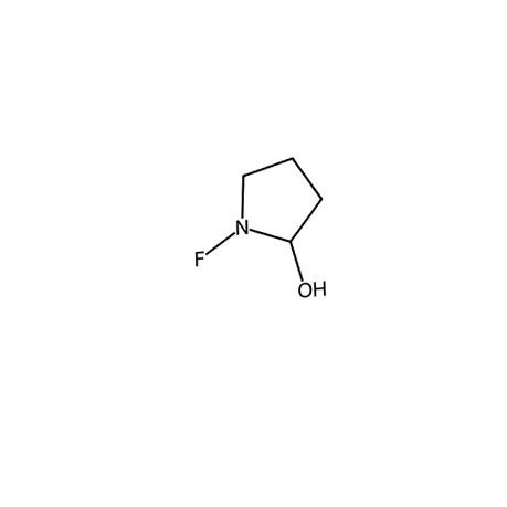 OC1CCCN1F